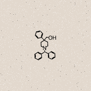 OCC1(c2ccccc2)CCN(C(c2ccccc2)c2ccccc2)CC1